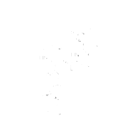 CCC[C@H](NC(=O)[C@@H]1C2NCC[C@H]2CN1C(=O)[C@@H](NC(=O)[C@@H](NS(C)(=O)=O)C1CCCCC1)C(C)(C)C)C(=O)C(=O)NC1CC1